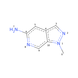 Cn1ncc2cc(N)ncc21